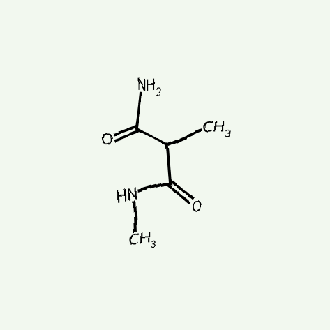 CNC(=O)C(C)C(N)=O